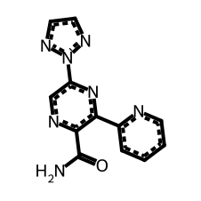 NC(=O)c1ncc(-n2nccn2)nc1-c1ccccn1